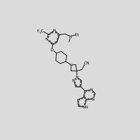 CCN(C)Cc1cc(OC2CCC(N3CC(CC#N)(n4cc(-c5ncnc6[nH]ccc56)cn4)C3)CC2)nc(C(F)(F)F)n1